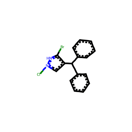 Cl[n+]1cc(C(c2ccccc2)c2ccccc2)c(Br)[nH]1